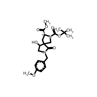 COC(=O)[C@@H]1CC2(CN1C(=O)OC(C)(C)C)C(=O)N(Cc1ccc(OC)cc1)CC2O